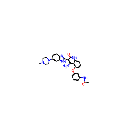 CC(=O)Nc1cccc(Oc2cccc3[nH]c(=O)c(-c4nc5ccc(N6CCN(C)CC6)cc5[nH]4)c(N)c23)c1